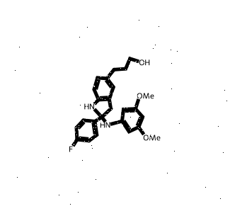 COc1cc(NC2(c3ccc(F)cc3)[CH]c3cc(CCCO)ccc3N2)cc(OC)c1